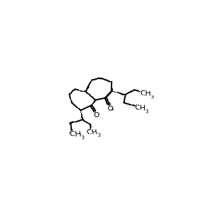 CCC(CC)[C@@H]1CCCC2CCC[C@H](C(CC)CC)C(=O)C2C1=O